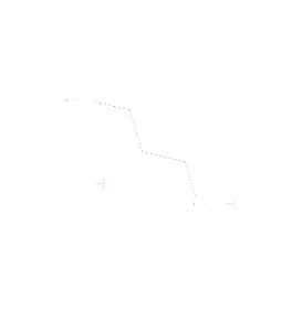 O=CC[C@@H](O)CC(=O)O